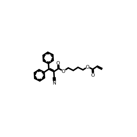 C=CC(=O)OCCCCOC(=O)C(C#N)=C(c1ccccc1)c1ccccc1